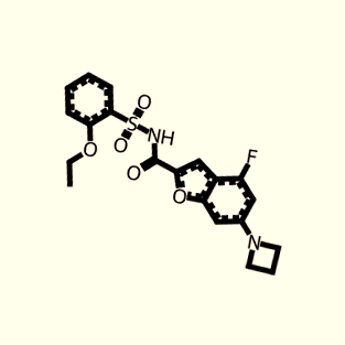 CCOc1ccccc1S(=O)(=O)NC(=O)c1cc2c(F)cc(N3CCC3)cc2o1